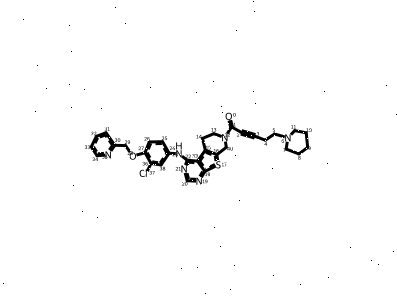 O=C(C#CCCN1CCCCC1)N1CCc2c(sc3ncnc(Nc4ccc(OCc5ccccn5)c(Cl)c4)c23)C1